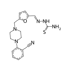 N#Cc1ccccc1N1CCN(Cc2ccc(C=NNC(N)=S)o2)CC1